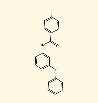 [CH2]c1ccc(C(=O)Nc2cccc(Oc3ccccc3)c2)cc1